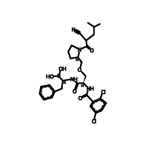 CC(C)CC(C#N)C(=O)N1CCC[C@@H]1COC[C@H](NC(=O)c1cc(Cl)ccc1Cl)C(=O)N[C@@H](Cc1ccccc1)B(O)O